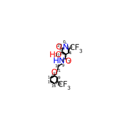 Cn1c(C(F)(F)F)cc(C(=O)NCCCOc2cccc(C(F)(F)F)c2)c(O)c1=O